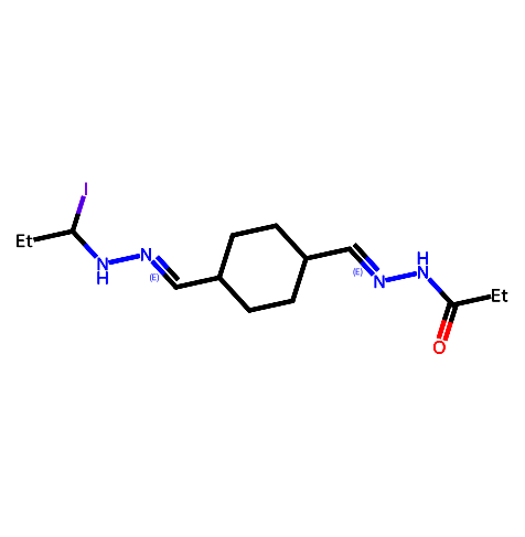 CCC(=O)N/N=C/C1CCC(/C=N/NC(I)CC)CC1